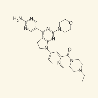 C=N/C(=C\C(=C/C)N1CCc2c(-c3cnc(N)nc3)nc(N3CCOCC3)nc21)C(=O)N1CCN(CC)CC1